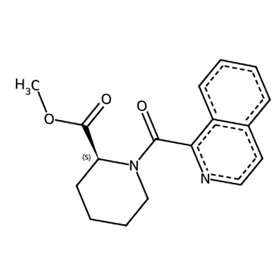 COC(=O)[C@@H]1CCCCN1C(=O)c1nccc2ccccc12